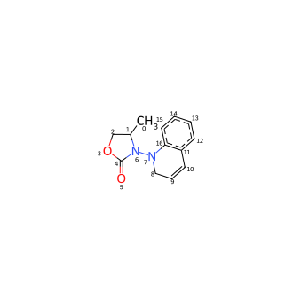 CC1COC(=O)N1N1CC=Cc2ccccc21